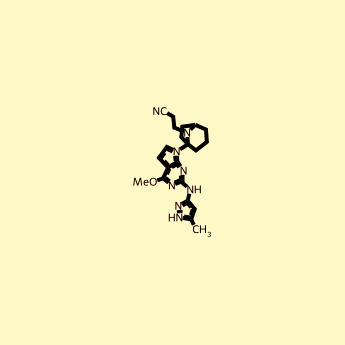 COc1nc(Nc2cc(C)[nH]n2)nc2c1ccn2C12CCCC(CC1)N2CCC#N